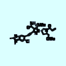 C=CC(=O)N1C[C@@H](n2nc(C#Cc3cc4nc(C)n(C)c4cc3Cl)c(C(N)=O)c2NC)C[C@@H]1COC